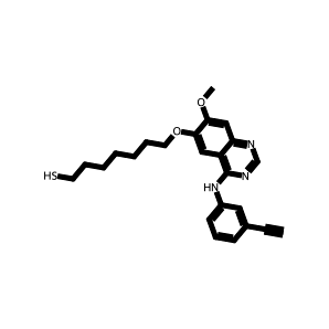 C#Cc1cccc(Nc2ncnc3cc(OC)c(OCCCCCCCS)cc23)c1